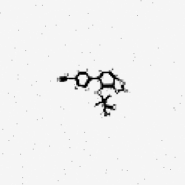 CC(C)(Oc1c(-c2ccc(C#N)cc2)ccc2ncsc12)C(=O)O